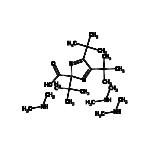 CC(C)(C)C1=NC(C(=O)O)(C(C)(C)C)N=C1C(C)(C)C.CNC.CNC.CNC